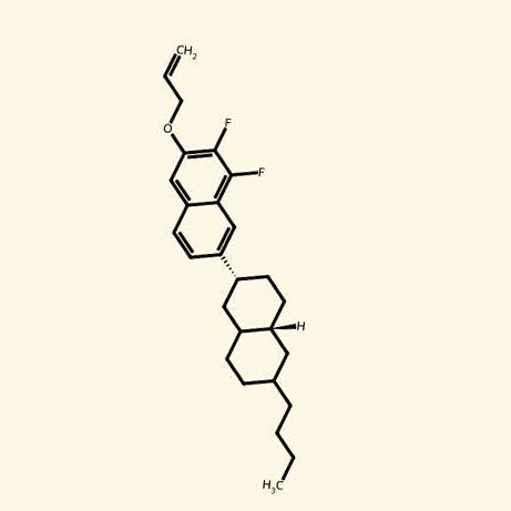 C=CCOc1cc2ccc([C@@H]3CC[C@@H]4CC(CCCC)CCC4C3)cc2c(F)c1F